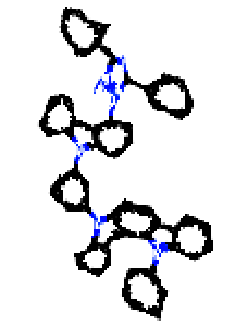 c1ccc(-c2nc(-c3ccccc3)n(-c3cccc4c3c3ccccc3n4-c3cccc(-n4c5ccccc5c5c4ccc4c6ccccc6n(-c6ccccc6)c45)c3)n2)cc1